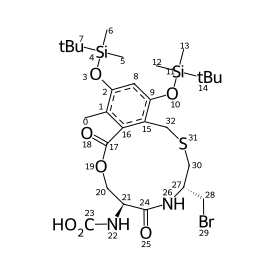 Cc1c(O[Si](C)(C)C(C)(C)C)cc(O[Si](C)(C)C(C)(C)C)c2c1C(=O)OC[C@H](NC(=O)O)C(=O)N[C@@H](CBr)CSC2